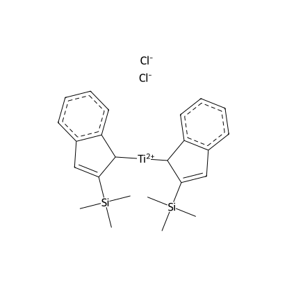 C[Si](C)(C)C1=Cc2ccccc2[CH]1[Ti+2][CH]1C([Si](C)(C)C)=Cc2ccccc21.[Cl-].[Cl-]